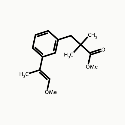 COC=C(C)c1cccc(CC(C)(C)C(=O)OC)c1